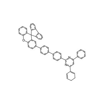 C1=CC(c2cc(-c3ccccc3)nc(-c3ccc(-c4ccc(-c5ccc6c(c5)C5(c7ccccc7O6)c6ccccc6-c6ccccc65)cc4)cc3)n2)=CCC1